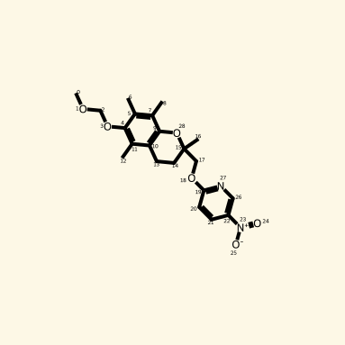 COCOc1c(C)c(C)c2c(c1C)CCC(C)(COc1ccc([N+](=O)[O-])cn1)O2